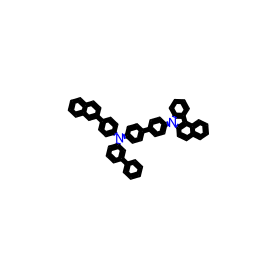 C1=Cc2c(n(-c3ccc(-c4ccc(N(c5ccc(-c6ccc7ccccc7c6)cc5)c5cccc(-c6ccccc6)c5)cc4)cc3)c3ccc4ccccc4c23)CC1